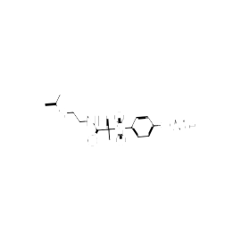 C=C(C)SCCNC(=O)C(C)(C)S(=O)(=O)c1ccc(OC)cc1